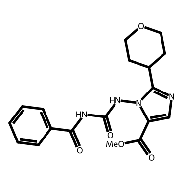 COC(=O)c1cnc(C2CCOCC2)n1NC(=O)NC(=O)c1ccccc1